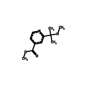 COC(=O)c1ccnc(C(C)(C)OC)c1